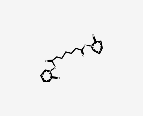 O=C(CCCCCC(=O)On1ccccc1=O)On1ccccc1=O